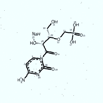 Nc1ccn(C(=O)[C@H](O)[C@H](CO)OCP(=O)(O)O)c(=O)n1.[NaH]